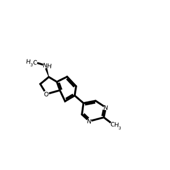 CN[C@@H]1COc2cc(-c3cnc(C)nc3)ccc21